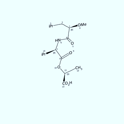 CO[C@H](CC(C)C)C(=O)N[C@@H](C(=O)O[C@@H](C)C(=O)O)C(C)C